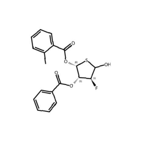 Cc1ccccc1C(=O)O[C@@H]1SC(O)[C@@H](F)[C@@H]1OC(=O)c1ccccc1